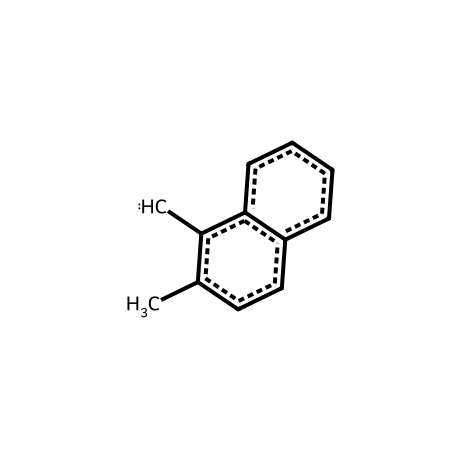 [CH]c1c(C)ccc2ccccc12